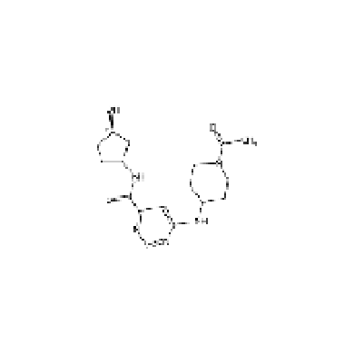 CC(=O)N1CCC(Nc2cc(C(=O)NC3CC[C@@H](O)C3)ncn2)CC1